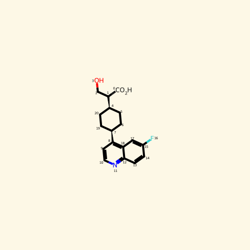 O=C(O)C(CO)[C@H]1CC[C@@H](c2ccnc3ccc(F)cc32)CC1